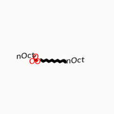 CCCCCCCCC=CCCCCCCCCOC(=O)OCCCCCCCC